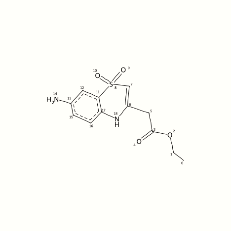 CCOC(=O)CC1=CS(=O)(=O)c2cc(N)ccc2N1